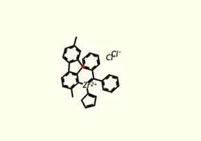 Cc1ccc2c(c1)Cc1c-2ccc(C)[c]1[Zr+2]([C]1=CC=CC1)=[C](c1ccccc1)c1ccccc1.[Cl-].[Cl-]